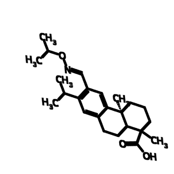 CC(C)O/N=C/c1cc2c(cc1C(C)C)CCC1C(C)(C(=O)O)CCC[C@]21C